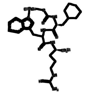 CCOC(=O)[C@H](CCCNC(=N)N)NC(=O)C(Cc1cn(C=O)c2ccccc12)NC(=O)[C@@H](CC1CCCCC1)NC(=O)OC(C)(C)C